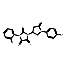 O=C1CC(N2C(=O)C(=O)N(c3ccccc3F)C2=O)CN1c1ccc(Cl)cc1